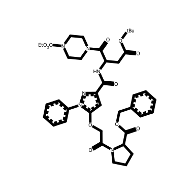 CCOC(=O)N1CCN(C(=O)C(CC(=O)OC(C)(C)C)NC(=O)c2cc(OCC(=O)N3CCCC3C(=O)OCc3ccccc3)n(-c3ccccc3)n2)CC1